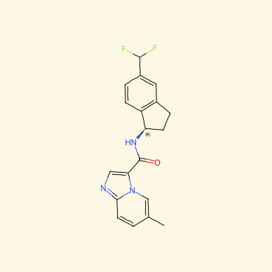 Cc1ccc2ncc(C(=O)N[C@@H]3CCc4cc(C(F)F)ccc43)n2c1